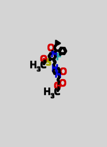 CCOC(=O)CCN1CCN(CC=C2CN(C(C(=O)C3CC3)c3ccccc3F)CCC2SC(C)=O)CC1=O